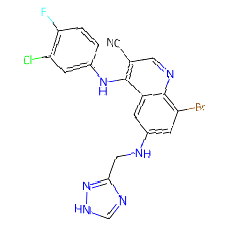 N#Cc1cnc2c(Br)cc(NCc3nc[nH]n3)cc2c1Nc1ccc(F)c(Cl)c1